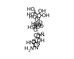 CN(C)[C@@H]1[C@@H](COP(=O)(S)OP(=O)(O)OC2OC3(O)C2C(O)C(O)C3[C@@H](O)CO)O[C@@H](c2c[nH]c3c(N)ncnc23)[C@]1(C)O